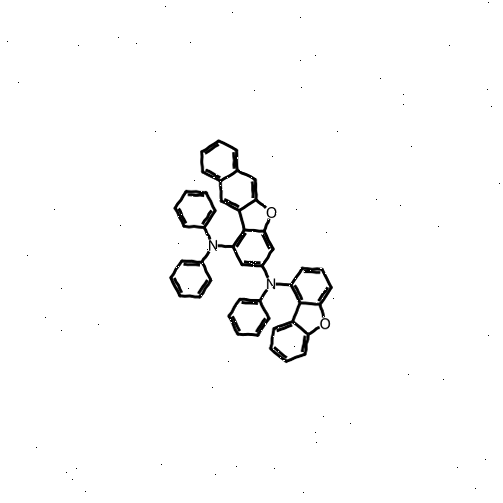 c1ccc(N(c2cc(N(c3ccccc3)c3ccccc3)c3c(c2)oc2cc4ccccc4cc23)c2cccc3oc4ccccc4c23)cc1